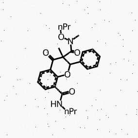 CCCNC(=O)c1cccc2c1OC(c1ccccc1)C(C)(C(=O)N(C)OCCC)C2=O